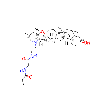 CCC(=O)NCC(=O)NCCN1C[C@@H](C)C[C@H]2O[C@]3(CC[C@H]4[C@@H]5CC6CC67C[C@@H](O)CC[C@]7(C)[C@H]5CC45CC53C)[C@H](C)[C@@H]21